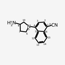 N#Cc1ccc(N2CCC(N)C2)c2ccccc12